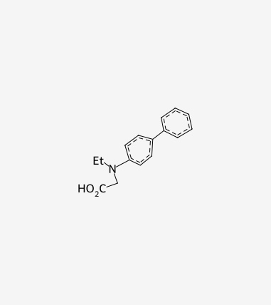 CCN(CC(=O)O)c1ccc(-c2ccccc2)cc1